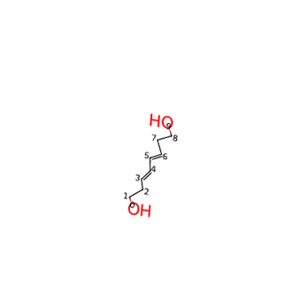 OCC/C=C/C=C/CCO